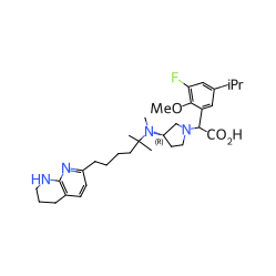 COc1c(F)cc(C(C)C)cc1C(C(=O)O)N1CC[C@@H](N(C)C(C)(C)CCCCc2ccc3c(n2)NCCC3)C1